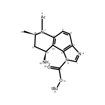 CC(=O)N1c2ccc3ncn(C(=O)OC(C)(C)C)c3c2[C@@H](N)C[C@H]1C